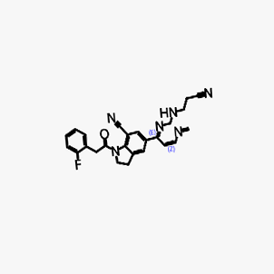 C=N/C=C\C(=N/CNCCC#N)c1cc(C#N)c2c(c1)CCN2C(=O)Cc1ccccc1F